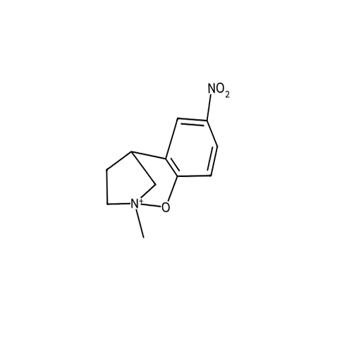 C[N+]12CCC(C1)c1cc([N+](=O)[O-])ccc1O2